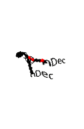 CCCCCCCCCCCCCCCCCCOCC(CSCc1ccccc1)OCCCCCCCCCCCCCCCCCC